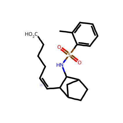 Cc1ccccc1S(=O)(=O)NC1C2CCC(C2)C1/C=C\CCCC(=O)O